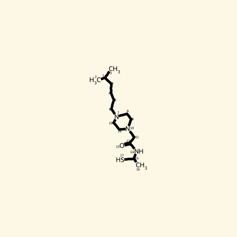 CC(C)CCCCN1CCN(CC(=O)NC(C)S)CC1